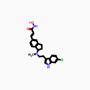 CN(CCc1c[nH]c2cc(Cl)ccc12)C1CCc2cc(C=CC(=O)NO)ccc21